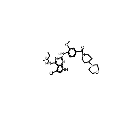 CC[C@H](C)Nc1nc(Nc2ccc(C(=O)N3CCC(N4CCOCC4)CC3)cc2OC)nc2[nH]cc(Cl)c12